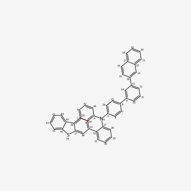 c1ccc(N(c2ccc(-c3cccc(-c4ccc5ccccc5c4)c3)cc2)c2ccccc2-c2ccc3c(c2)sc2ccccc23)cc1